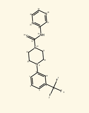 FC(F)(F)c1cccc(N2CCN(C(=S)Nc3cnccn3)CC2)c1